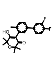 Cc1ccc(-c2ccc(F)c(F)c2)cc1C1=C(O)C(C)(C)OC(C)(C)C1=O